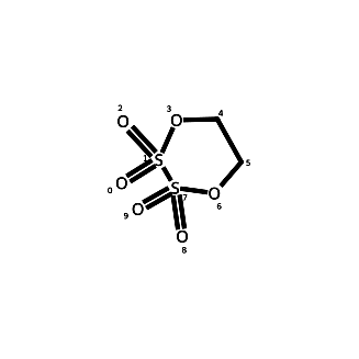 O=S1(=O)OCCOS1(=O)=O